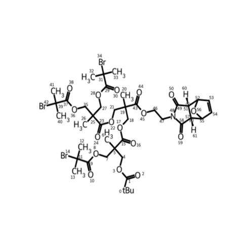 CC(C)(C)C(=O)OCC(C)(COC(=O)C(C)(C)Br)C(=O)OCC(C)(COC(=O)C(C)(COC(=O)C(C)(C)Br)COC(=O)C(C)(C)Br)C(=O)OCCN1C(=O)[C@@H]2C3C=CC(O3)[C@@H]2C1=O